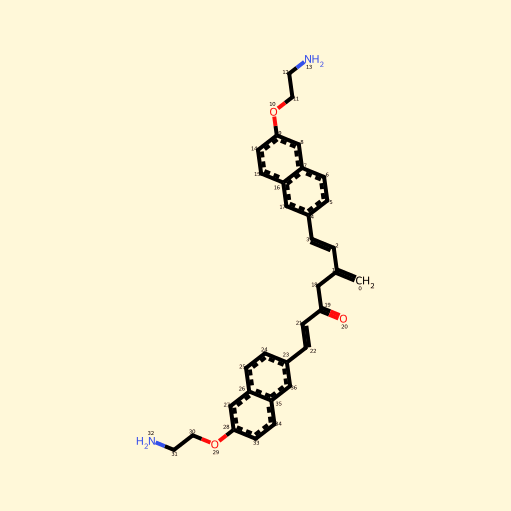 C=C(/C=C/c1ccc2cc(OCCN)ccc2c1)CC(=O)/C=C/c1ccc2cc(OCCN)ccc2c1